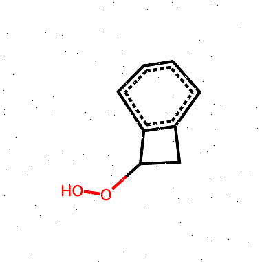 OOC1Cc2ccccc21